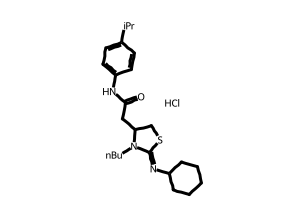 CCCCN1C(=NC2CCCCC2)SCC1CC(=O)Nc1ccc(C(C)C)cc1.Cl